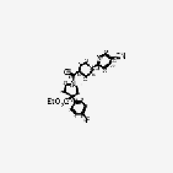 CCOC(=O)C1(c2ccc(F)cc2)CCN(C(=O)C2CCN(c3ccc(C#N)cn3)CC2)CC1